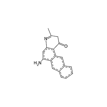 CC1=Nc2cc(N)c3cc4ccccc4cc3c2C(=O)C1